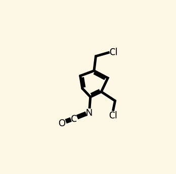 O=C=Nc1ccc(CCl)cc1CCl